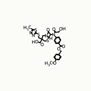 COc1ccc(COC(=O)c2ccc(N(C(=O)CO)C3C(=O)N4CC(CSc5nnc(C)s5)(C(=O)O)CS[C@H]34)cc2)cc1